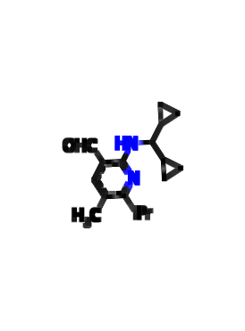 Cc1cc(C=O)c(NC(C2CC2)C2CC2)nc1C(C)C